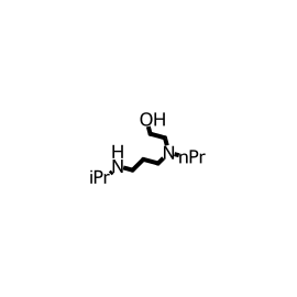 CCCN(CCO)CCCNC(C)C